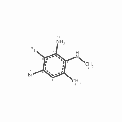 CNc1c(C)cc(Br)c(F)c1N